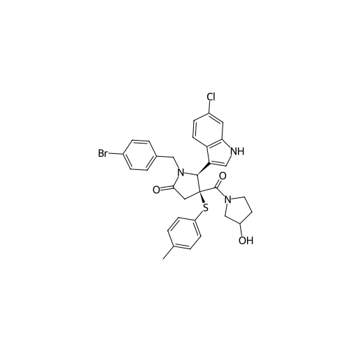 Cc1ccc(S[C@@]2(C(=O)N3CCC(O)C3)CC(=O)N(Cc3ccc(Br)cc3)[C@H]2c2c[nH]c3cc(Cl)ccc23)cc1